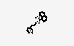 CN1C(=NCCCc2cccnc2)c2cccc3cccc1c23